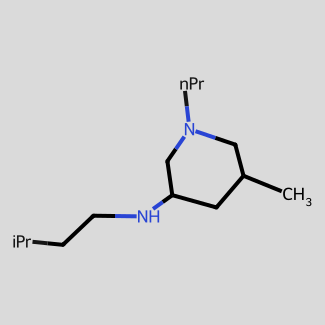 CCCN1CC(C)CC(NCCC(C)C)C1